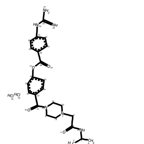 CC(C)NC(=O)CN1CCN(C(=O)c2ccc(OC(=O)c3ccc(NC(=N)N)cc3)cc2)CC1.Cl.Cl